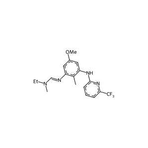 CCN(C)C=Nc1cc(OC)cc(Nc2cccc(C(F)(F)F)n2)c1C